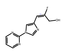 OC/C(F)=C\c1cn(-c2ncccn2)cn1